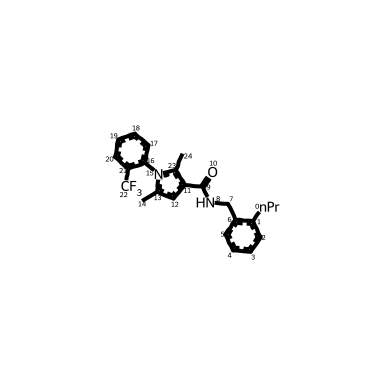 CCCc1ccccc1CNC(=O)c1cc(C)n(-c2ccccc2C(F)(F)F)c1C